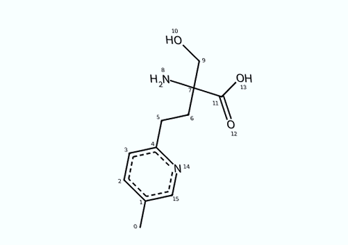 Cc1ccc(CCC(N)(CO)C(=O)O)nc1